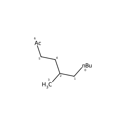 CCCCCC(C)CCC(C)=O